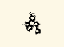 Nc1nccc(-c2c[nH]c3nccc(N4CCCC4c4cccs4)c23)n1